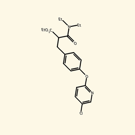 CCOC(=O)C(Cc1ccc(Oc2ccc(Cl)cn2)cc1)C(=O)N(CC)CC